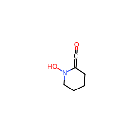 O=C=C1CCCCN1O